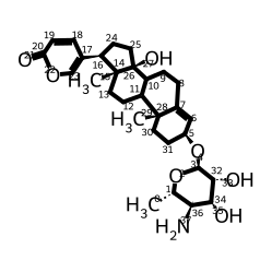 C[C@@H]1O[C@@H](O[C@@H]2C=C3CCC4C(CC[C@]5(C)[C@@H](c6ccc(=O)oc6)CC[C@]45O)[C@@]3(C)CC2)[C@H](O)[C@H](O)[C@H]1N